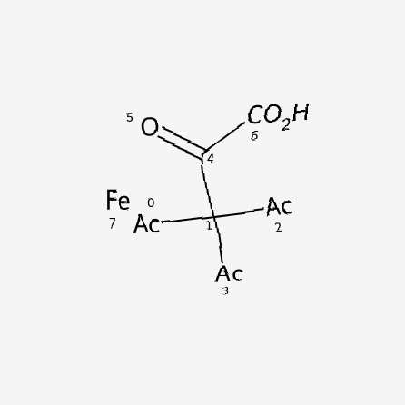 CC(=O)C(C(C)=O)(C(C)=O)C(=O)C(=O)O.[Fe]